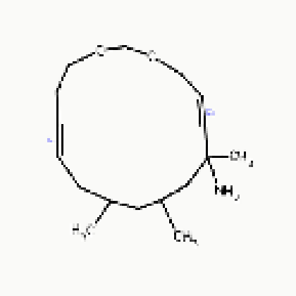 CC1C/C=C\CCCCCC/C=C\C(C)(N)CC(C)C1